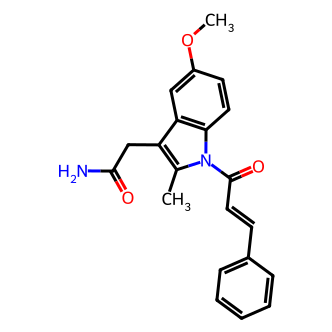 COc1ccc2c(c1)c(CC(N)=O)c(C)n2C(=O)C=Cc1ccccc1